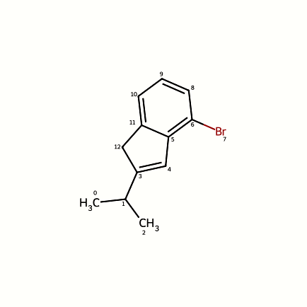 CC(C)C1=Cc2c(Br)cccc2C1